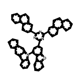 c1ccc2cc3c(cc2c1)c1ccccc1n3-c1cc(-c2nc(-c3ccc4c(ccc5ccccc54)c3)nc(-c3ccc4c(ccc5ccccc54)c3)n2)cc2oc3ccccc3c12